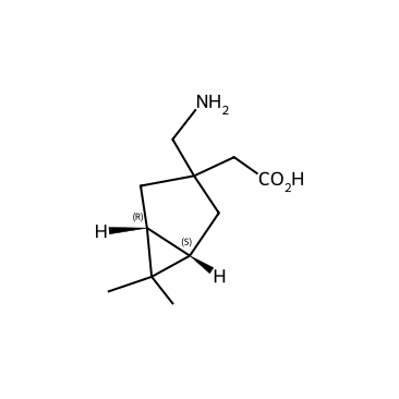 CC1(C)[C@@H]2CC(CN)(CC(=O)O)C[C@@H]21